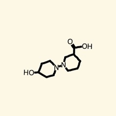 O=C(O)C1CCCN(N2CCC(O)CC2)C1